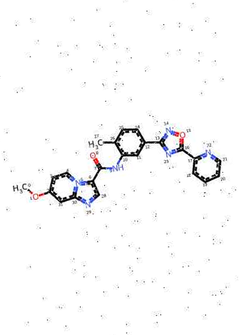 COc1ccn2c(C(=O)Nc3cc(-c4noc(-c5ccccn5)n4)ccc3C)cnc2c1